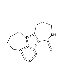 O=C1NCCCc2c1c1cccc3c1n2CCCC3